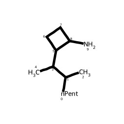 CCCCCC(C)C(C)C1CCC1N